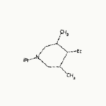 CCC1C(C)CN(C(C)C)CC1C